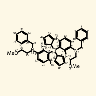 COCCN(Cc1ccccc1)c1ccc(F)[c]([Ti]([c]2c(F)ccc(N(CCOC)Cc3ccccc3)c2F)([CH]2C=CC=C2)[CH]2C=CC=C2)c1F